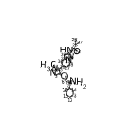 Cn1ncc(OC[C@@H](N)c2ccccc2)c1-c1ccn2nc(NC(=O)C3CC3)cc2c1